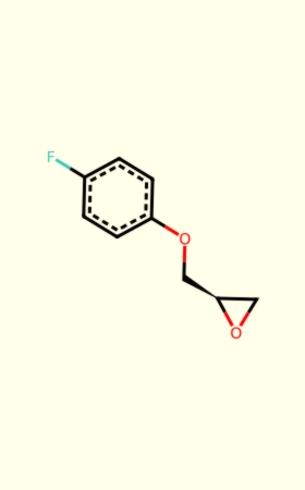 Fc1ccc(OC[C@H]2CO2)cc1